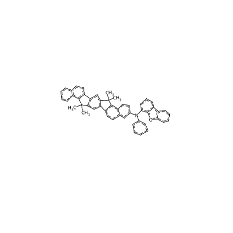 CC1(C)c2cc3c(cc2-c2ccc4ccccc4c21)C(C)(C)c1c-3ccc2cc(N(c3ccccc3)c3cccc4c3oc3ccccc34)ccc12